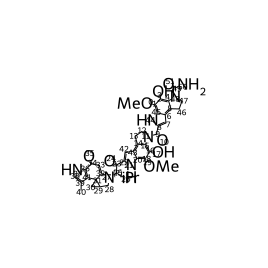 COc1c(O)c2c(c3cc(C(=O)N4CCc5c4c(O)c(OC)c4[nH]c(C(=O)[C@@H](C(C)C)N6CC7CC78C6=CC(=O)c6[nH]cc(C)c68)cc54)[nH]c13)CCN2C(N)=O